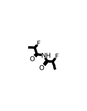 CC(F)C(=O)NC(=O)C(C)F